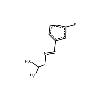 CC(C)O/N=[C]/c1cccc(F)c1